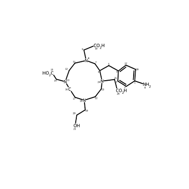 Nc1ccc(CC2CN(CC(=O)O)CCN(CC(=O)O)CCN(CCO)CCN2CC(=O)O)cc1